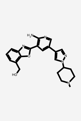 CN1CCC(n2cc(-c3cnc(N)c(-c4nc5cccc(CO)c5o4)c3)cn2)CC1